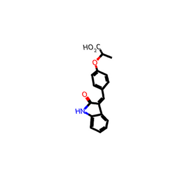 CC(Oc1ccc(/C=C2\C(=O)Nc3ccccc32)cc1)C(=O)O